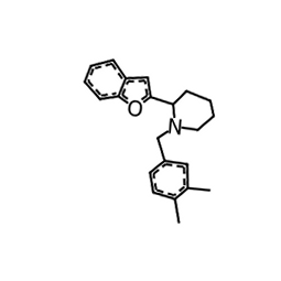 Cc1ccc(CN2CCCCC2c2cc3ccccc3o2)cc1C